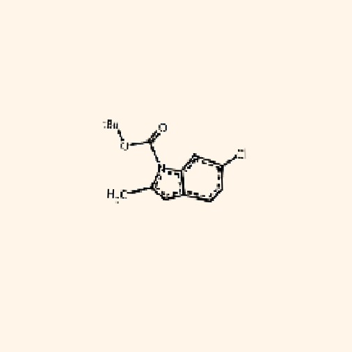 Cc1cc2ccc(Cl)cc2n1C(=O)OC(C)(C)C